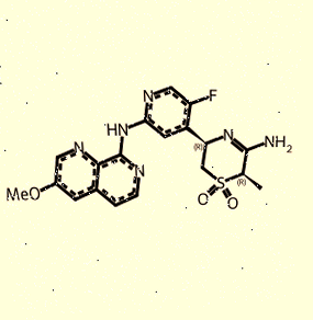 COc1cnc2c(Nc3cc([C@@H]4CS(=O)(=O)[C@H](C)C(N)=N4)c(F)cn3)nccc2c1